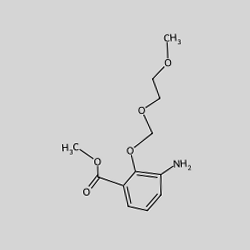 COCCOCOc1c(N)cccc1C(=O)OC